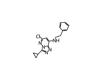 Clc1cc(NCCc2ccccc2)c2nnc(C3CC3)n2n1